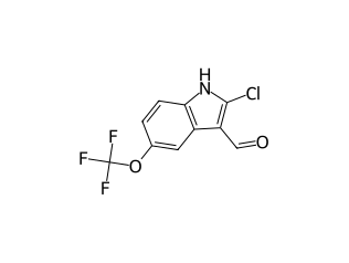 O=Cc1c(Cl)[nH]c2ccc(OC(F)(F)F)cc12